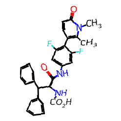 Cc1c(-c2c(F)cc(NC(=O)C(NC(=O)O)C(c3ccccc3)c3ccccc3)cc2F)ccc(=O)n1C